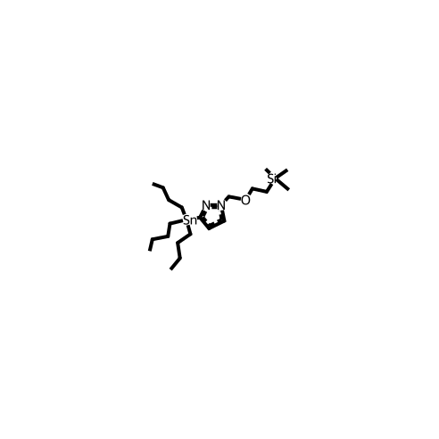 CCC[CH2][Sn]([CH2]CCC)([CH2]CCC)[c]1ccn(COCC[Si](C)(C)C)n1